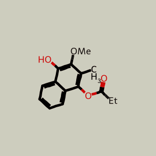 CCC(=O)Oc1c(C)c(OC)c(O)c2ccccc12